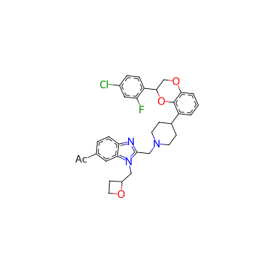 CC(=O)c1ccc2nc(CN3CCC(c4cccc5c4OC(c4ccc(Cl)cc4F)CO5)CC3)n(CC3CCO3)c2c1